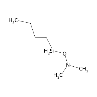 CCCC[SiH2]ON(C)C